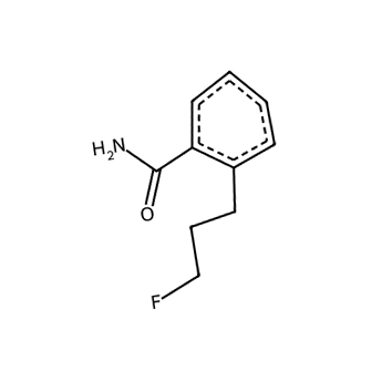 NC(=O)c1ccccc1CCCF